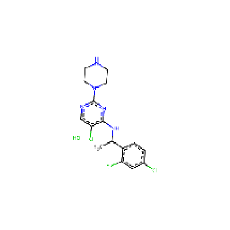 CC(Nc1nc(N2CCNCC2)ncc1Cl)c1ccc(Cl)cc1Cl.Cl